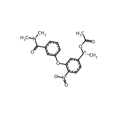 CC(=O)O[C@H](C)c1ccc([N+](=O)[O-])c(Oc2cccc(C(=O)N(C)C)c2)c1